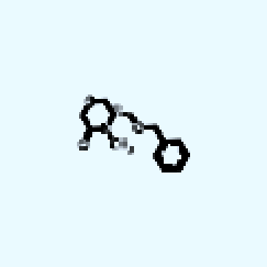 CN1C(=O)COC[C@@H]1COCc1ccccc1